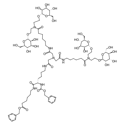 O=C(CN(CC(=O)NCCCCCC(=O)N(CCO[C@H]1O[C@H](CO)[C@@H](O)[C@H](O)[C@@H]1O)CCO[C@H]1O[C@H](CO)[C@@H](O)[C@H](O)[C@@H]1O)CC(=O)NCCCC[C@H](NC(=O)OCc1ccccc1)C(=O)NCCCCCC(=O)OCc1ccccc1)NCCCCCC(=O)N(CCO[C@H]1O[C@H](CO)[C@@H](O)[C@H](O)[C@@H]1O)CCO[C@H]1O[C@H](CO)[C@@H](O)[C@H](O)[C@@H]1O